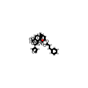 COC(=O)C12C=C(OC(=O)CCc3ccccc3)C(=O)[C@@H]3[C@@]4(N)C[C@@H](c5ccoc5)OC(=O)[C@@H]4CC[C@]31C2